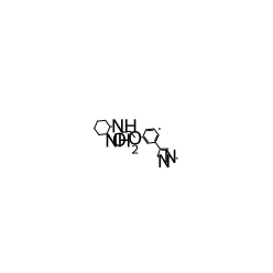 Cn1cc(-c2c[c]cc(OCC(=O)NC3CCCCC3N)c2)cn1